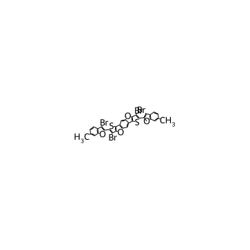 Cc1ccc2c(Br)c(-c3sc4c(oc5cc6c(cc54)oc4c(Br)c(-c5oc7cc(C)ccc7c5Br)sc46)c3Br)oc2c1